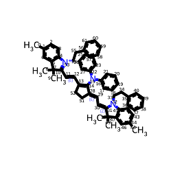 Cc1ccc2c(c1)C(C)(C)C(/C=C/C1=C(N(c3ccccc3)c3ccccc3)C(=C/C=C3\N(CCc4ccccc4)c4ccc(C)cc4C3(C)C)/CC1)=[N+]2CCc1ccccc1